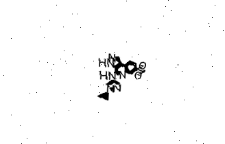 CS(=O)(=O)c1ccc2c(c1)nc(Nc1cnn(C3CC3)c1)c1[nH]ncc12